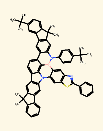 CC(C)(C)c1ccc(N2B3c4cc5nc(-c6ccccc6)sc5cc4-n4c5cc6c(cc5c5ccc(c3c54)-c3cc4c(cc32)C(C)(C)c2ccc(C(C)(C)C)cc2-4)C(C)(C)c2ccccc2-6)cc1